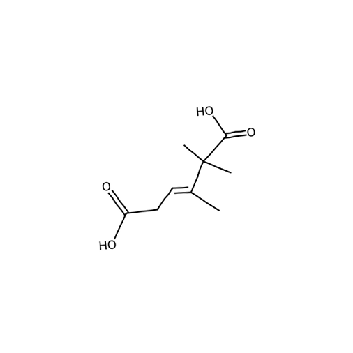 C/C(=C\CC(=O)O)C(C)(C)C(=O)O